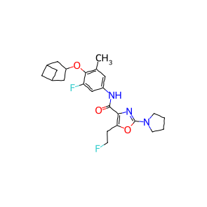 Cc1cc(NC(=O)c2nc(N3CCCC3)oc2CCF)cc(F)c1OC1CC2CC(C2)C1